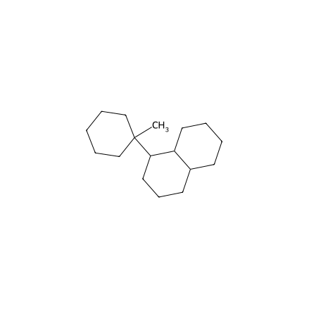 CC1(C2CCCC3CCCCC32)CCCCC1